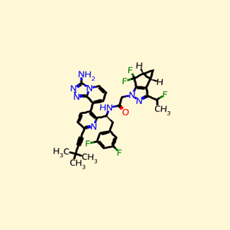 CC(F)c1nn(CC(=O)N[C@@H](Cc2cc(F)cc(F)c2)c2nc(C#CC(C)(C)C)ccc2-c2cccn3c(N)nnc23)c2c1[C@H]1C[C@H]1C2(F)F